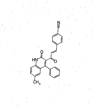 Cc1ccc2[nH]c(=O)c(C(=O)/C=C/c3ccc(C#N)cc3)c(-c3ccccc3)c2c1